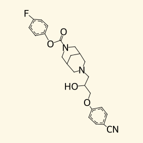 N#Cc1ccc(OCC(O)CN2CC3CC(C2)CN(C(=O)Oc2ccc(F)cc2)C3)cc1